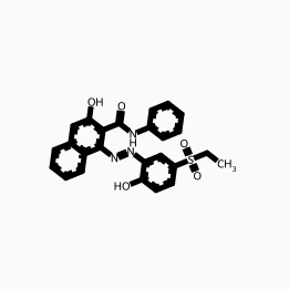 CCS(=O)(=O)c1ccc(O)c(/N=N/c2c(C(=O)Nc3ccccc3)c(O)cc3ccccc23)c1